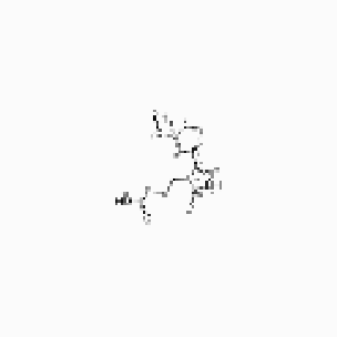 COc1cccc(-c2n[nH]c(=S)n2CCCC(=O)O)c1